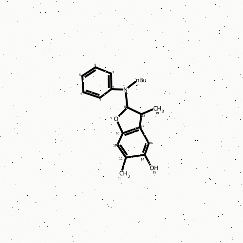 CCCCN(c1ccccc1)C1Oc2cc(C)c(O)cc2C1C